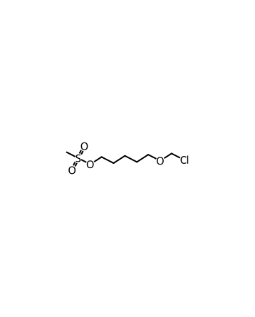 CS(=O)(=O)OCCCCCOCCl